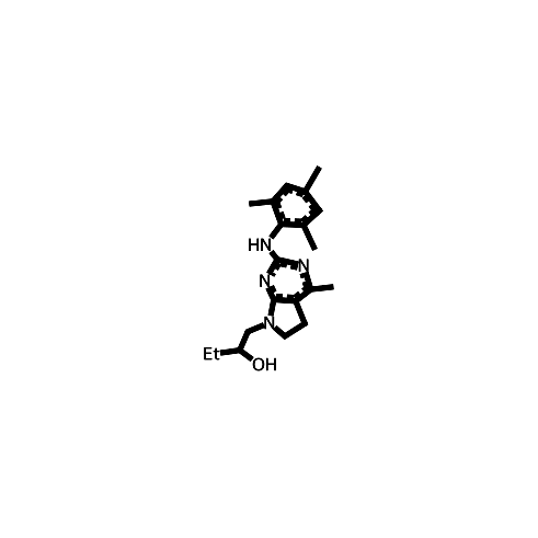 CCC(O)CN1CCc2c(C)nc(Nc3c(C)cc(C)cc3C)nc21